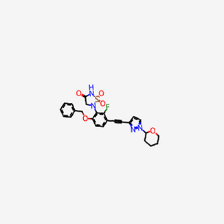 O=C1CN(c2c(OCc3ccccc3)ccc(C#Cc3ccn(C4CCCCO4)n3)c2F)S(=O)(=O)N1